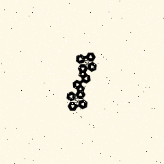 c1ccc([Si]2(c3ccc4c(c3)-c3cccc(-c5cccc6c5Cc5ccc([Si]7(c8ccccc8)c8ccccc8-c8ccccc87)cc5-6)c3C4)c3ccccc3-c3ccccc32)cc1